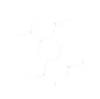 O=C(Cl)c1cc(C(=O)Cl)c(C(=O)Cl)cc1C(=O)Cl